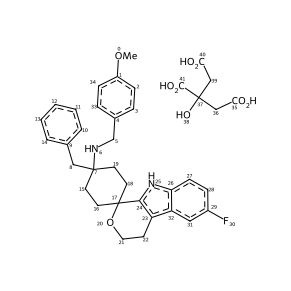 COc1ccc(CNC2(Cc3ccccc3)CCC3(CC2)OCCc2c3[nH]c3ccc(F)cc23)cc1.O=C(O)CC(O)(CC(=O)O)C(=O)O